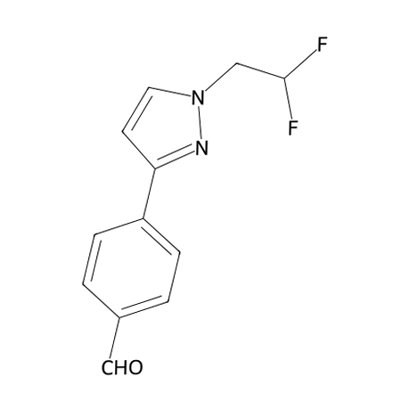 O=Cc1ccc(-c2ccn(CC(F)F)n2)cc1